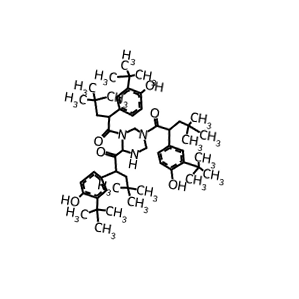 CC(C)(C)CC(C(=O)C1NCN(C(=O)C(CC(C)(C)C)c2ccc(O)c(C(C)(C)C)c2)CN1C(=O)C(CC(C)(C)C)c1ccc(O)c(C(C)(C)C)c1)c1ccc(O)c(C(C)(C)C)c1